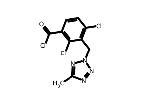 Cc1nnn(Cc2c(Cl)ccc(C(=O)Cl)c2Cl)n1